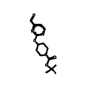 CC(C)(C)OC(=O)N1CCC(Oc2nccc(C=O)n2)CC1